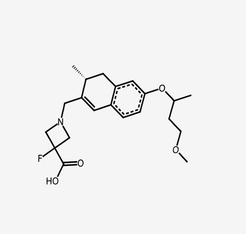 COCCC(C)Oc1ccc2c(c1)C[C@@H](C)C(CN1CC(F)(C(=O)O)C1)=C2